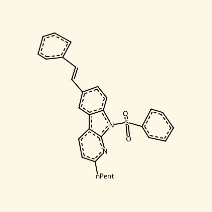 CCCCCc1ccc2c3cc(/C=C/c4ccccc4)ccc3n(S(=O)(=O)c3ccccc3)c2n1